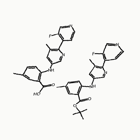 Cc1ccc(Nc2cnc(-c3ccncc3F)c(C)c2)c(C(=O)O)c1.Cc1ccc(Nc2cnc(-c3ccncc3F)c(C)c2)c(C(=O)OC(C)(C)C)c1